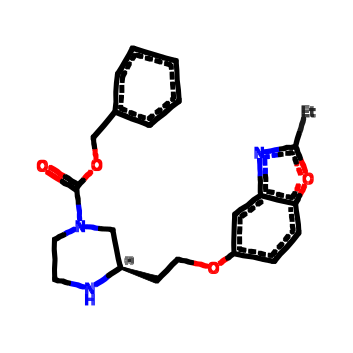 CCc1nc2cc(OCC[C@@H]3CN(C(=O)OCc4ccccc4)CCN3)ccc2o1